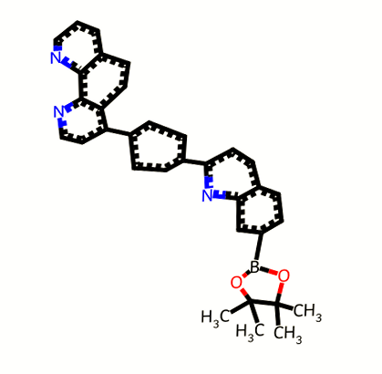 CC1(C)OB(c2ccc3ccc(-c4ccc(-c5ccnc6c5ccc5cccnc56)cc4)nc3c2)OC1(C)C